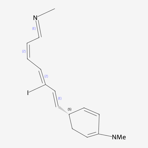 C/N=C/C=C\C=C(I)\C=C\[C@@H]1C=CC(NC)=CC1